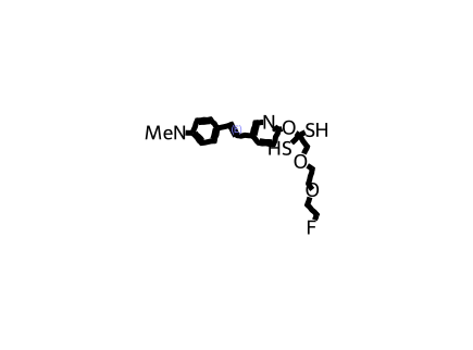 CNc1ccc(/C=C/c2ccc(OC(S)(S)COCCOCCF)nc2)cc1